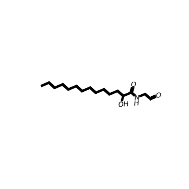 CCCCCCCCCCCCC(O)C(=O)NC[C]=O